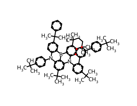 CC(C)(C)c1ccc(-c2cccc(-c3cc(C(C)(C)C)ccc3N3c4cc5c(cc4B4c6cc(C(C)(C)c7ccccc7)ccc6N(c6ccc(C(C)(C)C)cc6)c6cc(C(C)(C)C)cc3c64)C(C)(C)CCC5(C)C)c2)cc1